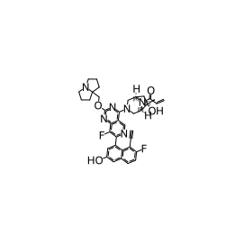 C#Cc1c(F)ccc2cc(O)cc(-c3ncc4c(N5C[C@H]6C[C@](C)(O)[C@@H](C5)N6C(=O)C=C)nc(OCC56CCCN5CCC6)nc4c3F)c12